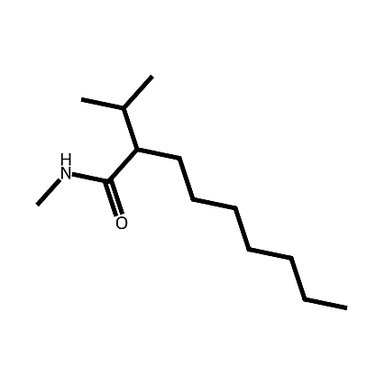 CCCCCCCC(C(=O)NC)C(C)C